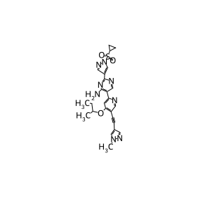 CCC(C)Oc1cc(-c2cnc(-c3cnn(S(=O)(=O)C4CC4)c3)nc2N)ncc1C#Cc1cnn(C)c1